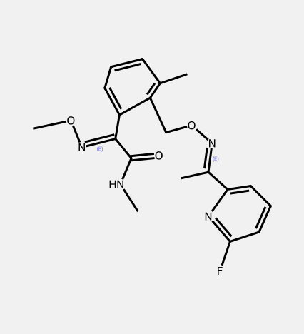 CNC(=O)/C(=N/OC)c1cccc(C)c1CO/N=C(\C)c1cccc(F)n1